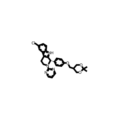 CC1(C)OCC(COc2ccc([C@H]3c4[nH]c5ccc(Cl)cc5c4CCN3c3ncccn3)cc2)CO1